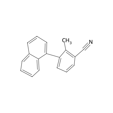 Cc1c(C#N)cccc1-c1cccc2ccccc12